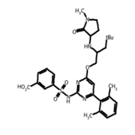 Cc1cccc(C)c1-c1cc(OCC(CC(C)(C)C)NC2CCN(C)C2=O)nc(NS(=O)(=O)c2cccc(C(=O)O)c2)n1